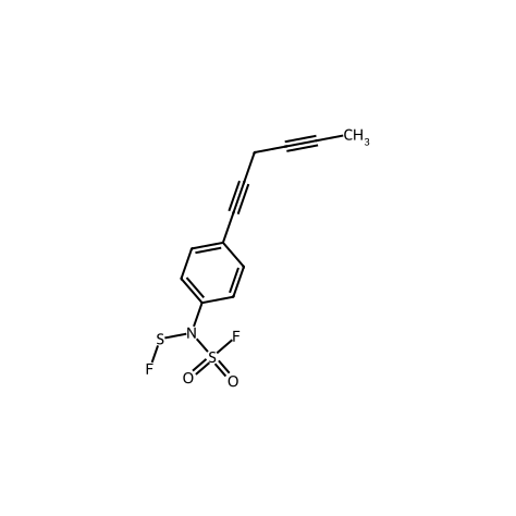 CC#CCC#Cc1ccc(N(SF)S(=O)(=O)F)cc1